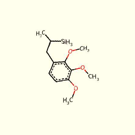 COc1ccc(CC(C)[SiH3])c(OC)c1OC